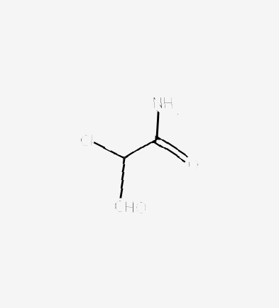 NC(=O)C(Cl)C=O